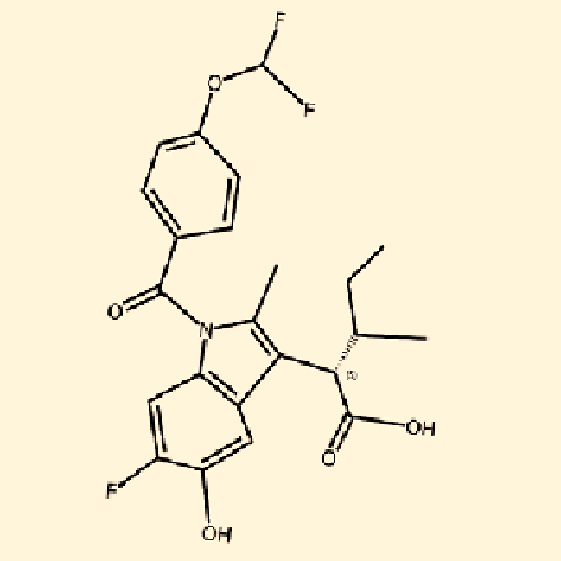 CCC(C)[C@H](C(=O)O)c1c(C)n(C(=O)c2ccc(OC(F)F)cc2)c2cc(F)c(O)cc12